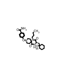 CCCCN1C(=O)[C@@H](CC2(O)CCCCC2)NC(=O)C12CCN(Oc1ccc(C(N)=O)cc1)CC2